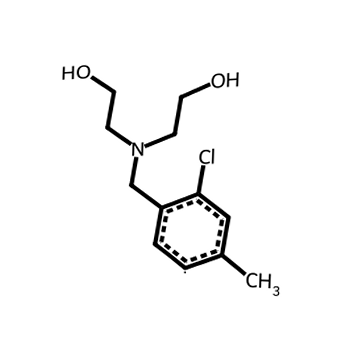 Cc1[c]cc(CN(CCO)CCO)c(Cl)c1